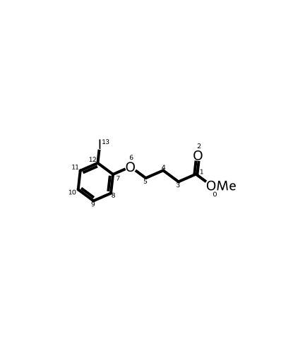 COC(=O)CCCOc1ccccc1I